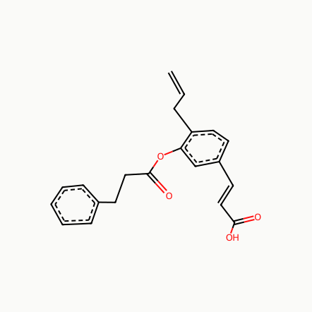 C=CCc1ccc(/C=C/C(=O)O)cc1OC(=O)CCc1ccccc1